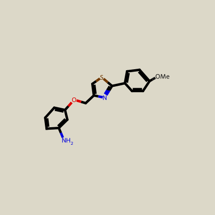 COc1ccc(-c2nc(COc3cccc(N)c3)cs2)cc1